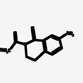 CCOC(=O)C(=O)N1CCc2ccc([N+](=O)[O-])cc2C1=O